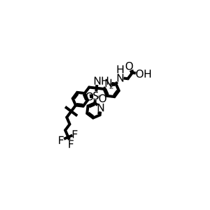 CC(C)(CCCC(F)(F)F)c1ccc(CC(N)(c2cccc(NCC(=O)O)n2)S(=O)(=O)c2ccccn2)cc1